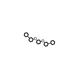 c1ccc(-c2cccc(Oc3cccc(Oc4cccc(-c5ccccc5)c4)c3)c2)cc1